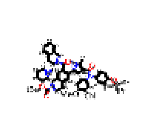 COc1ccc(N(C(=O)c2cc(-c3cc4c(cc3C(=O)N3Cc5ccccc5C[C@H]3CN3CCCCC3)CN(C(=O)OC(C)(C)C)CC4)n(C)c2C)c2ccc(O[Si](C(C)C)(C(C)C)C(C)C)cc2)cc1C#N